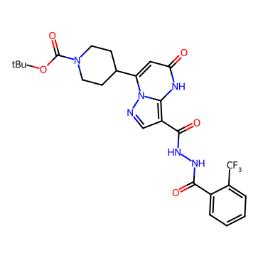 CC(C)(C)OC(=O)N1CCC(c2cc(=O)[nH]c3c(C(=O)NNC(=O)c4ccccc4C(F)(F)F)cnn23)CC1